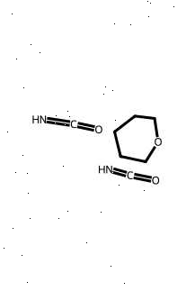 C1CCOCC1.N=C=O.N=C=O